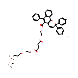 CCC[Si](C)(C)O[Si](C)(C)CCCOCCOC(=O)CCC(=O)OCCOC(=O)c1c2c(c3ccccc3c1-c1ccccc1)OC(c1ccc(OC)cc1)(c1ccc(OC)cc1)C=C2